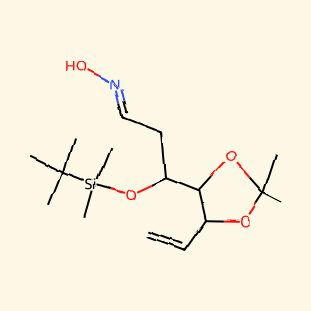 C=CC1OC(C)(C)OC1C(CC=NO)O[Si](C)(C)C(C)(C)C